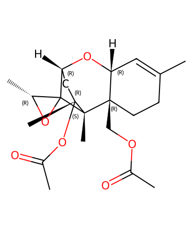 CC(=O)OC[C@]12CCC(C)=C[C@H]1O[C@@H]1C[C@@](C)(OC(C)=O)[C@@]2(C)C12O[C@@H]2C